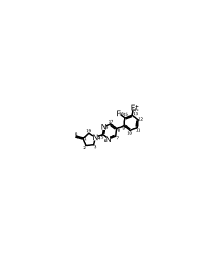 C=C1CCN(c2ncc(-c3cccc(CC)c3F)cn2)C1